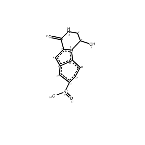 O=C1NCC(O)n2c1cc1cc([N+](=O)[O-])ccc12